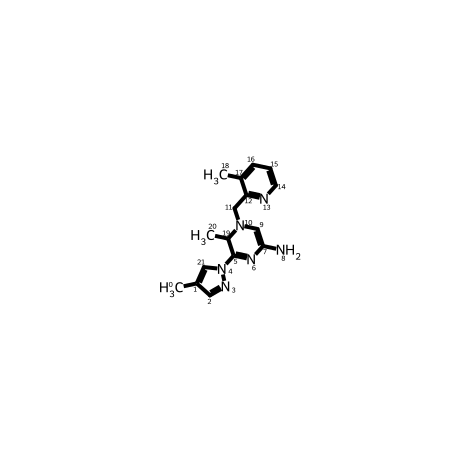 Cc1cnn(C2=NC(N)=CN(Cc3ncccc3C)C2C)c1